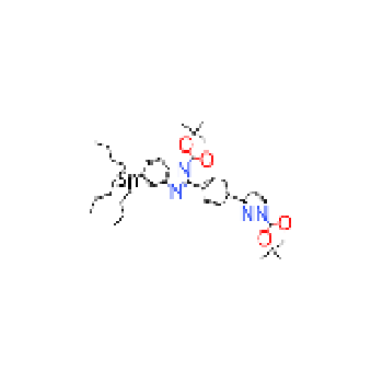 CCC[CH2][Sn]([CH2]CCC)([CH2]CCC)[c]1ccc2c(c1)nc(-c1ccc(-c3ccn(C(=O)OC(C)(C)C)n3)cc1)n2C(=O)OC(C)(C)C